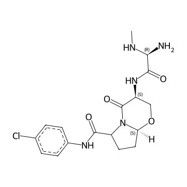 CN[C@@H](N)C(=O)N[C@H]1CO[C@H]2CCC(C(=O)Nc3ccc(Cl)cc3)N2C1=O